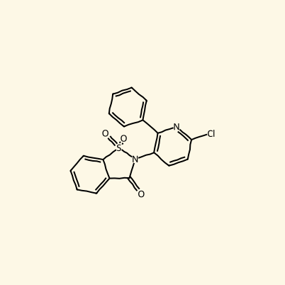 O=C1c2ccccc2S(=O)(=O)N1c1ccc(Cl)nc1-c1ccccc1